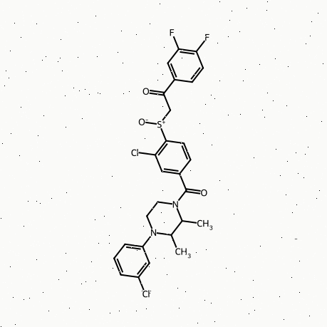 CC1C(C)N(c2cccc(Cl)c2)CCN1C(=O)c1ccc([S+]([O-])CC(=O)c2ccc(F)c(F)c2)c(Cl)c1